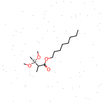 CCCCCCCCOC(=O)C(C)[Si](C)(OC)OC